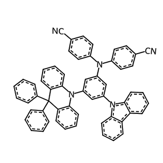 N#Cc1ccc(N(c2ccc(C#N)cc2)c2cc(N3c4ccccc4C(c4ccccc4)(c4ccccc4)c4ccccc43)cc(-n3c4ccccc4c4ccccc43)c2)cc1